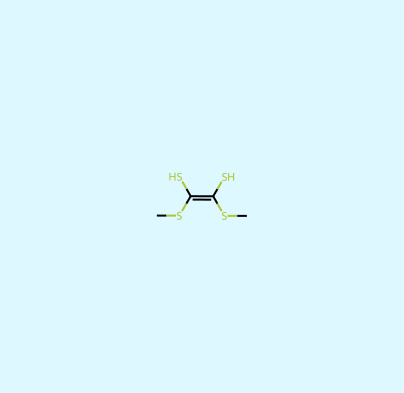 CS/C(S)=C(/S)SC